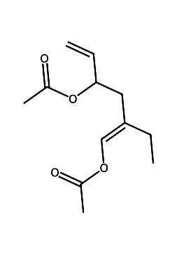 C=CC(CC(=COC(C)=O)CC)OC(C)=O